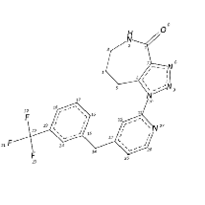 O=C1NCCCc2c1nnn2-c1cc(Cc2cccc(C(F)(F)F)c2)ccn1